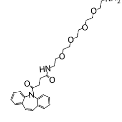 NCCOCCOCCOCCOCCNC(=O)CCC(=O)N1c2ccccc2C=Cc2ccccc21